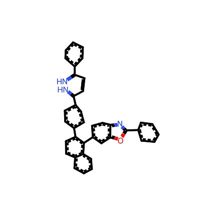 N=C(/C=C\C(=N)c1ccc(-c2ccc3ccccc3c2-c2ccc3nc(-c4ccccc4)oc3c2)cc1)c1ccccc1